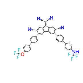 N#CC(C#N)=C1c2cc(C#N)c(-c3ccc(-c4ccc(OC(F)(F)F)cc4)cc3)cc2-c2cc(-c3ccc(C4C=CC(NC(F)(F)F)=CC4)cc3)c(C#N)cc21